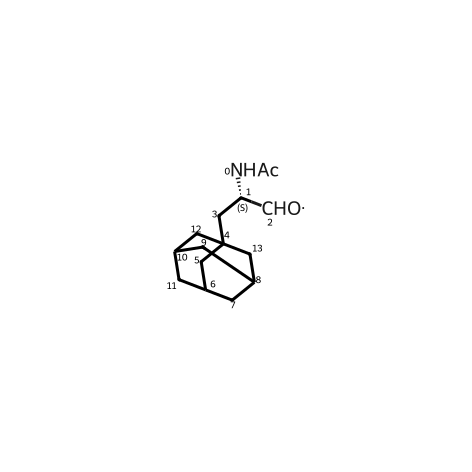 CC(=O)N[C@H]([C]=O)CC12CC3CC(CC(C3)C1)C2